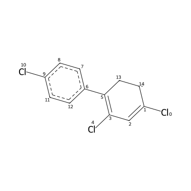 ClC1=CC(Cl)=C(c2ccc(Cl)cc2)C[CH]1